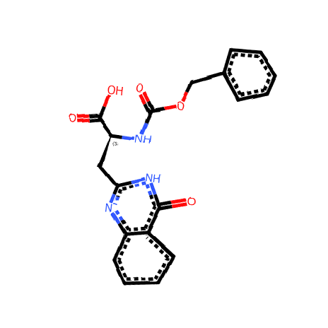 O=C(N[C@@H](Cc1nc2ccccc2c(=O)[nH]1)C(=O)O)OCc1ccccc1